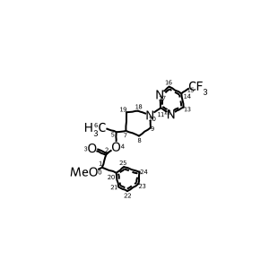 COC(C(=O)OC(C)C1CCN(c2ncc(C(F)(F)F)cn2)CC1)c1ccccc1